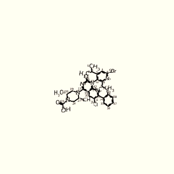 CC(C)c1cc(Br)nc(C(C)C)c1-n1c(=O)nc(N2C[C@@H](C)N(C(=O)O)C[C@@H]2C)c2cc(Cl)c(-c3ccccc3F)nc21